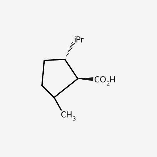 CC(C)[C@H]1CCC(C)[C@@H]1C(=O)O